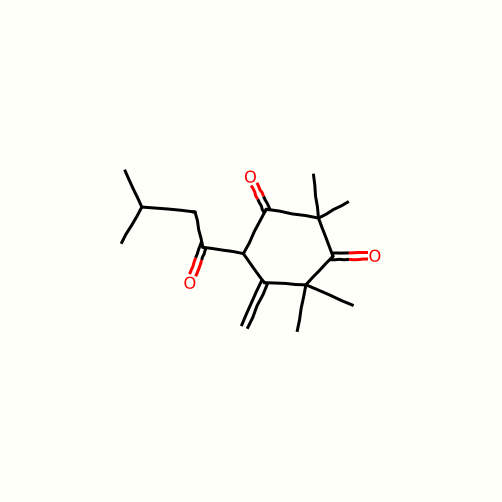 C=C1C(C(=O)CC(C)C)C(=O)C(C)(C)C(=O)C1(C)C